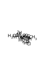 [2H]c1c(Cl)sc2c1c(O)c(C(=O)N([2H])C([2H])CC([2H])N1CCC([2H])(C)CC1)c(=O)n2C([2H])(C)C